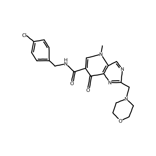 Cn1cc(C(=O)NCc2ccc(Cl)cc2)c(=O)c2nc(CN3CCOCC3)ncc21